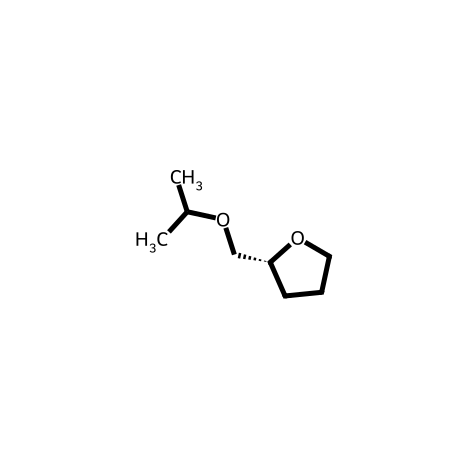 CC(C)OC[C@H]1CCCO1